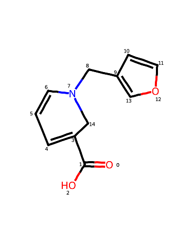 O=C(O)C1=CC=CN(Cc2ccoc2)C1